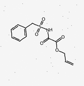 C=CCOC(=O)C(=O)NS(=O)(=O)Cc1ccccc1